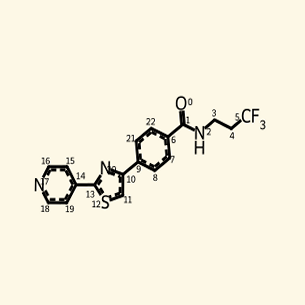 O=C(NCCC(F)(F)F)c1ccc(-c2csc(-c3ccncc3)n2)cc1